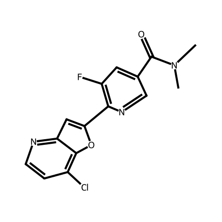 CN(C)C(=O)c1cnc(-c2cc3nccc(Cl)c3o2)c(F)c1